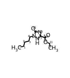 CCCCCn1[nH]c(C(=O)OCC)nc1=O